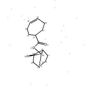 O=C(O[C@H]1CN2CCC1CC2)C1CCC=CCC1